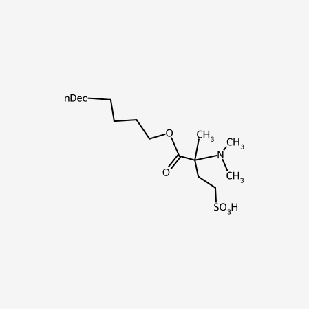 CCCCCCCCCCCCCCOC(=O)C(C)(CCS(=O)(=O)O)N(C)C